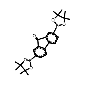 CC1(C)OB(c2ccc3c(c2)C(=O)c2cc(B4OC(C)(C)C(C)(C)O4)ccc2-3)OC1(C)C